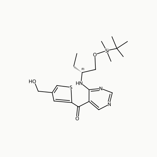 CC[C@H](CO[Si](C)(C)C(C)(C)C)Nc1ncncc1C(=O)c1cc(CO)cs1